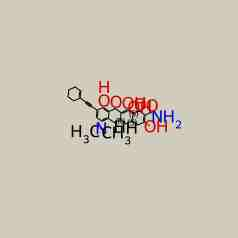 CN(C)c1cc(C#CC2=CCCCC2)c(O)c2c1C[C@H]1C[C@H]3CC(O)=C(C(N)=O)C(=O)[C@@]3(O)C(O)=C1C2=O